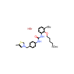 Br.CCCCCCCCCCCCCCOc1c(NC(=O)Nc2ccc(CN3C=C(C)SC3)cc2)cccc1C(C)(C)C